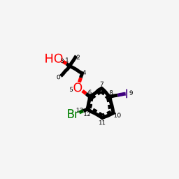 CC(C)(O)COc1cc(I)ccc1Br